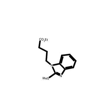 CCOC(=O)CCCn1c(SC)nc2ccccc21